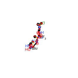 Cc1ncsc1-c1ccc([C@H](C)NC(=O)[C@@H]2C[C@@H](O)CN2C(=O)[C@@H](CCCCCCC(=O)N2CCN(CC[C@H](CSc3ccccc3)Nc3ccc(S(=O)(=O)NC(=O)c4ccc(N5CCN(CC6=C(c7ccc(Cl)cc7F)CCCCC6)CC5)cc4)cc3S(=O)(=O)C(F)(F)F)CC2)C(C)(C)C)cc1